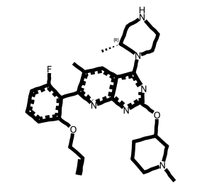 C=CCOc1cccc(F)c1-c1nc2nc(OC3CCCN(C)C3)nc(N3CCNC[C@H]3C)c2cc1C